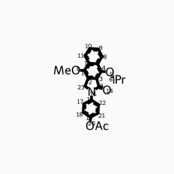 COc1c2c(c(OC(C)C)c3ccccc13)C(=O)N(c1ccc(OC(C)=O)cc1)C2